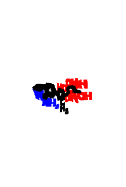 Cc1cc(-c2ccc3ccnc(N)c3c2)ccc1[C@@H](O)[C@H]1OC(CO)[C@@H](O)C(O)C1O